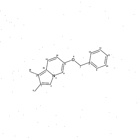 Cc1cn2cc(OCc3ccccc3)ccc2c1C